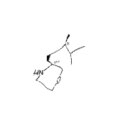 CC(C)[C@H](C)C[C@H]1COCCN1